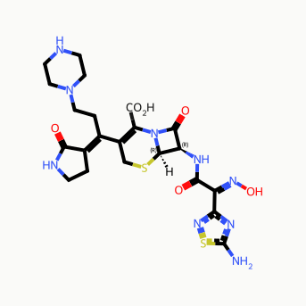 Nc1nc(C(=NO)C(=O)N[C@@H]2C(=O)N3C(C(=O)O)=C(C(CCN4CCNCC4)=C4CCNC4=O)CS[C@H]23)ns1